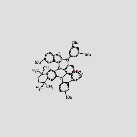 Cc1cc2c3c(c1)N(c1cc(C(C)(C)C)cc(C(C)(C)C)c1)c1sc4ccc(C(C)(C)C)cc4c1B3c1cc3c(cc1N2c1ccc(C(C)(C)C)cc1-c1ccccc1)C(C)(C)CCC3(C)C